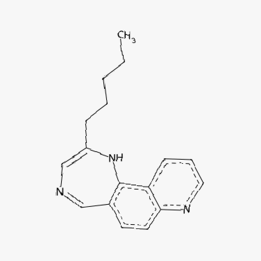 CCCCCC1=CN=Cc2ccc3ncccc3c2N1